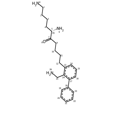 NCCCC[C@H](N)C(=O)CCCCc1cccc(-c2ccccc2)c1CN